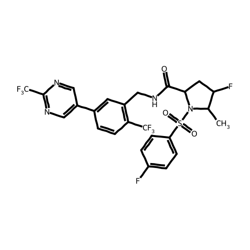 CC1C(F)CC(C(=O)NCc2cc(-c3cnc(C(F)(F)F)nc3)ccc2C(F)(F)F)N1S(=O)(=O)c1ccc(F)cc1